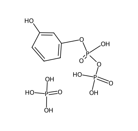 O=P(O)(O)O.O=P(O)(O)OP(=O)(O)Oc1cccc(O)c1